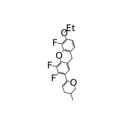 CCOc1ccc2c(c1F)Oc1c(cc(C3=CCC(C)CO3)c(F)c1F)C2